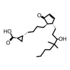 CCCCC(C)(C)[C@H](O)CC[C@H]1C=CC(=O)[C@@H]1CCCC[C@@H]1C[C@H]1C(=O)O